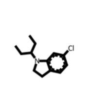 CCC(CC)N1CCc2ccc(Cl)cc21